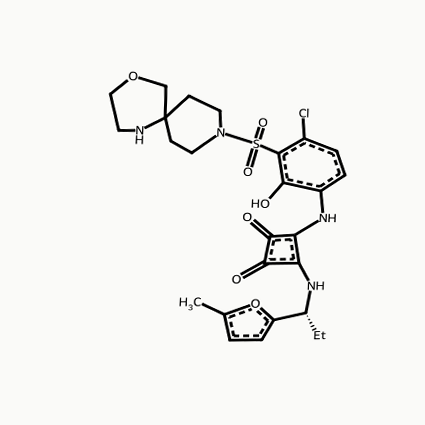 CC[C@@H](Nc1c(Nc2ccc(Cl)c(S(=O)(=O)N3CCC4(CC3)COCCN4)c2O)c(=O)c1=O)c1ccc(C)o1